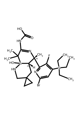 CC[Si](CC)(CC)c1cc(Br)nc([C@@]2(C)N=C(NC(=O)O)C(C)(C)S3(O)NCC4(CC4)C[C@@H]23)c1F